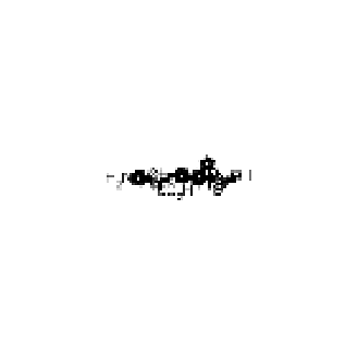 Nc1ccc([C@H](O)CN(CCCc2ccc(-c3ccc(C(=O)NS(=O)(=O)CCCO)c(C4CCCC4)c3)cc2)C(=O)O)cc1